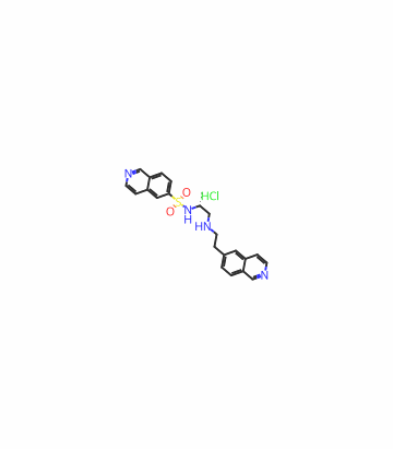 C[C@H](CNCCc1ccc2cnccc2c1)NS(=O)(=O)c1ccc2cnccc2c1.Cl